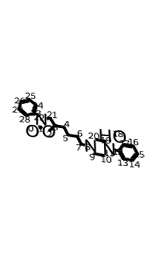 O=C1OC(CCCCN2CCN(c3ccccc3O)CC2)CN1c1ccccc1